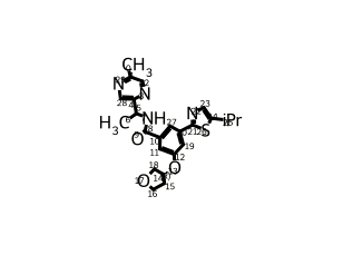 Cc1cnc(C(C)NC(=O)c2cc(O[C@@H]3CCOC3)cc(-c3ncc(C(C)C)s3)c2)cn1